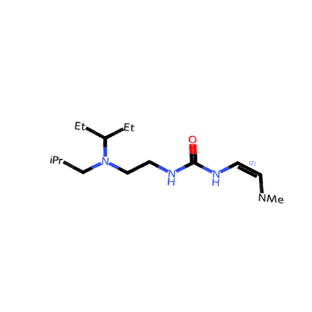 CCC(CC)N(CCNC(=O)N/C=C\NC)CC(C)C